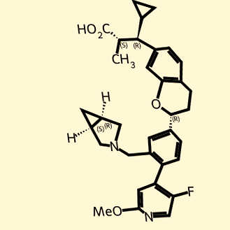 COc1cc(-c2ccc([C@H]3CCc4ccc([C@H](C5CC5)[C@H](C)C(=O)O)cc4O3)cc2CN2C[C@H]3C[C@H]3C2)c(F)cn1